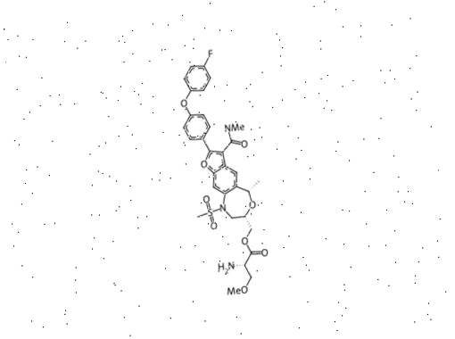 CNC(=O)c1c(-c2ccc(Oc3ccc(F)cc3)cc2)oc2cc3c(cc12)[C@H](C)O[C@H](COC(=O)[C@@H](N)COC)CN3S(C)(=O)=O